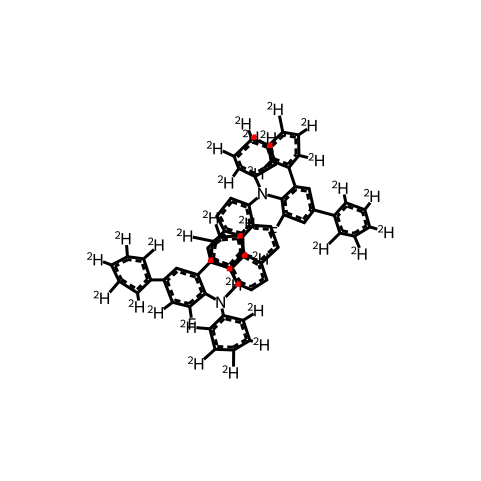 [2H]c1cc(N(c2c(F)cc(-c3c([2H])c([2H])c([2H])c([2H])c3[2H])cc2-c2c([2H])c([2H])c([2H])c([2H])c2[2H])c2ccc3ccc4c(N(c5c([2H])c([2H])c([2H])c([2H])c5[2H])c5c(-c6c([2H])c([2H])c([2H])c([2H])c6[2H])cc(-c6c([2H])c([2H])c([2H])c([2H])c6[2H])c([2H])c5F)ccc5ccc2c3c54)c([2H])c([2H])c1[2H]